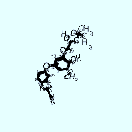 COc1cc(Oc2ccc3nc(C#N)sc3c2)cc(OCC(=O)OC(C)(C)C)c1O